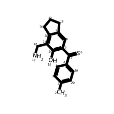 Cc1ccc(C(=S)c2cc3c(c(CN)c2O)CCC3)cc1